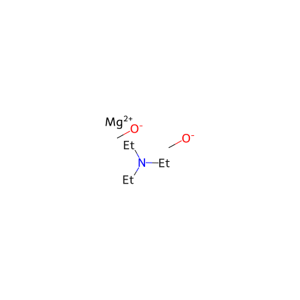 CCN(CC)CC.C[O-].C[O-].[Mg+2]